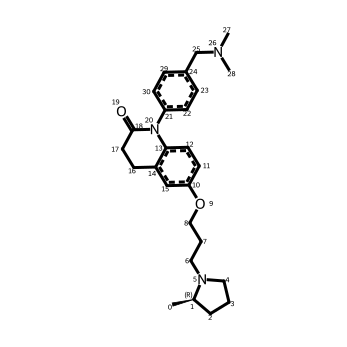 C[C@@H]1CCCN1CCCOc1ccc2c(c1)CCC(=O)N2c1ccc(CN(C)C)cc1